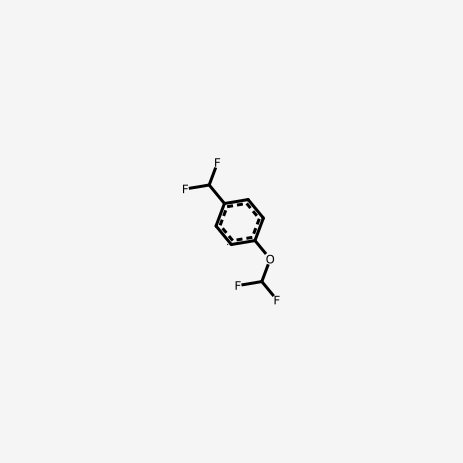 FC(F)Oc1[c]cc(C(F)F)cc1